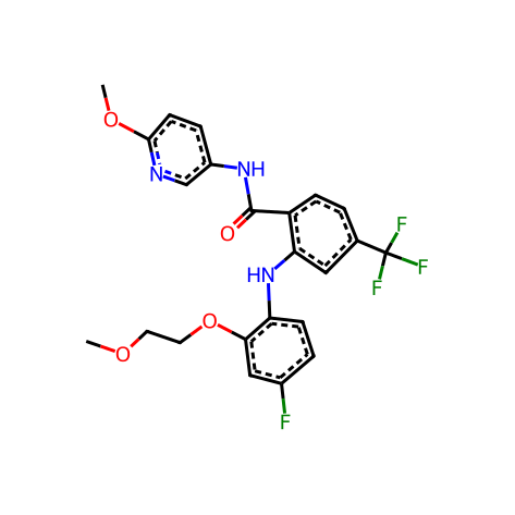 COCCOc1cc(F)ccc1Nc1cc(C(F)(F)F)ccc1C(=O)Nc1ccc(OC)nc1